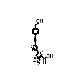 CC(CCc1cc(C#Cc2ccc(CCO)cc2)on1)(C(=O)NO)S(C)(=O)=O